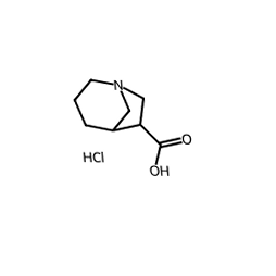 Cl.O=C(O)C1CN2CCCC1C2